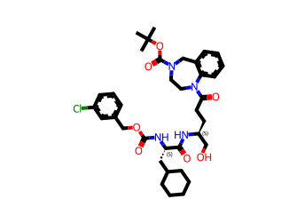 CC(C)(C)OC(=O)N1CCN(C(=O)CC[C@@H](CO)NC(=O)[C@H](CC2CCCCC2)NC(=O)OCc2cccc(Cl)c2)c2ccccc2C1